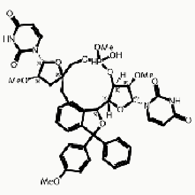 COc1ccc(C(O[C@H]2CCC[C@]3([CH][C@@H](OC)[C@H](n4ccc(=O)[nH]c4=O)O3)CO[PH](O)(OC)O[C@H]3[C@@H](OC)[C@H](n4ccc(=O)[nH]c4=O)O[C@@H]32)(c2ccccc2)c2ccccc2)cc1